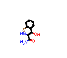 NC(=O)C1=C(O)c2ccccc2SN1